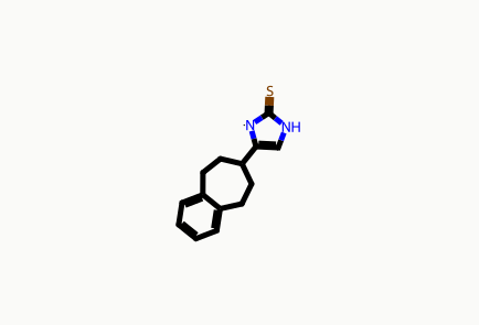 S=C1[N]C(C2CCc3ccccc3CC2)=CN1